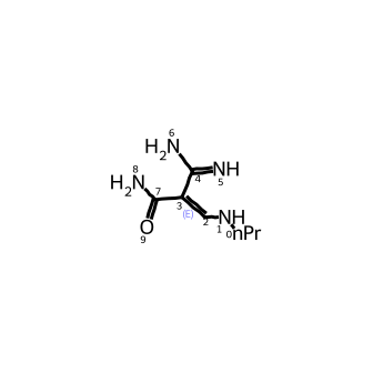 CCCN/C=C(\C(=N)N)C(N)=O